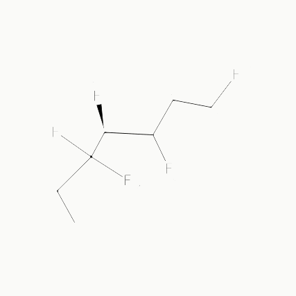 [CH2]CC(F)(F)[C@@H](F)C(F)CCF